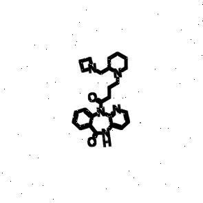 O=C1Nc2cccnc2N(C(=O)CCCN2CCCCC2CN2CCC2)c2ccccc21